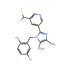 Cc1nc(-c2cncc(C(F)F)c2)n(Cc2cc(Cl)ccc2Cl)c1C(=O)O